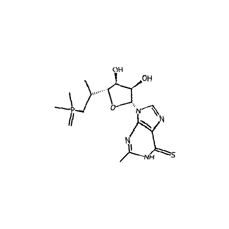 C=P(C)(C)CC(C)[C@H]1O[C@@H](n2cnc3c(=S)[nH]c(C)nc32)[C@H](O)[C@@H]1O